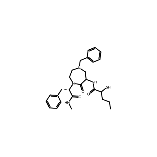 CCCC(S)C(=O)NC1CN(Cc2ccccc2)CCN([C@@H](Cc2ccccc2)C(=O)NC)C1=O